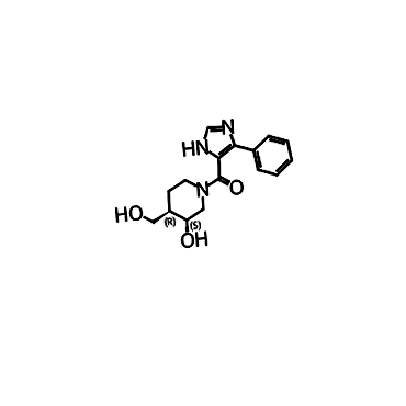 O=C(c1[nH]cnc1-c1ccccc1)N1CC[C@H](CO)[C@H](O)C1